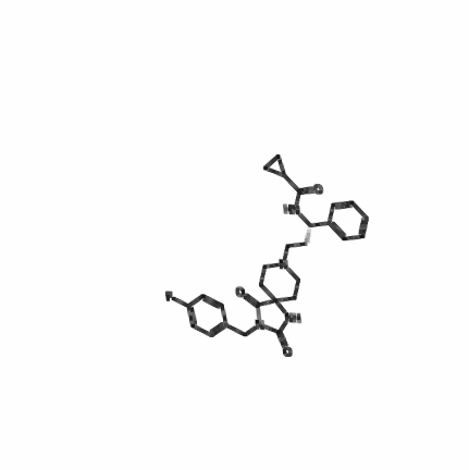 O=C(N[C@@H](CCN1CCC2(CC1)NC(=O)N(Cc1ccc(F)cc1)C2=O)c1ccccc1)C1CC1